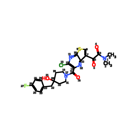 CN(C)C(=O)C(=O)c1csc2nc(Cl)c(C(=O)N3CCC(O)(Cc4ccc(F)cc4)CC3)nc12